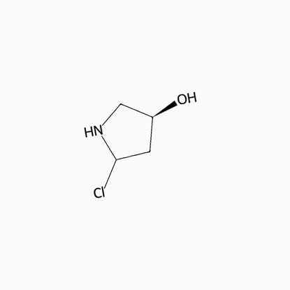 O[C@@H]1CNC(Cl)C1